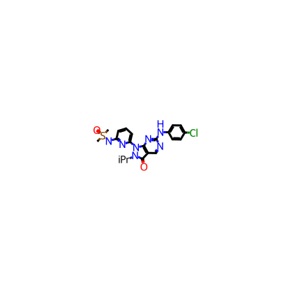 CC(C)n1c(=O)c2cnc(Nc3ccc(Cl)cc3)nc2n1-c1cccc(N=S(C)(C)=O)n1